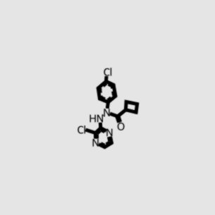 O=C(C1CCC1)N(Nc1nccnc1Cl)c1ccc(Cl)cc1